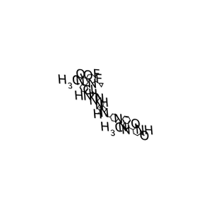 Cn1nc(C2CCC(=O)NC2=O)c2cccc(N3CCC(CN4C[C@@H]5C[C@H]4CN5c4ncc(Cl)c(Nc5ccc6c(c5)c5c(c(=O)n6C)OCC(F)(F)C(C6CC6)N5)n4)CC3)c21